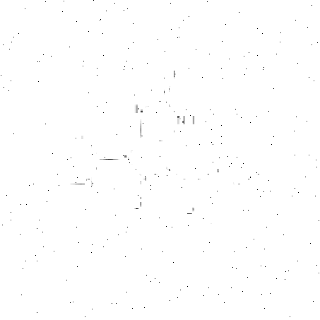 CCOC(OCC)N1C(=O)N(C(OC)OC)C2NC(=O)NC21